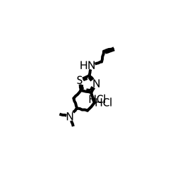 C=CCNc1nc2c(s1)CC(N(C)C)CC2.Cl.Cl